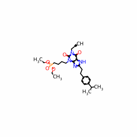 C#CCn1c(=O)c2[nH]c(CCc3ccc(C(C)C)cc3)nc2n(CCCCP(=O)(OCC)OCC)c1=O